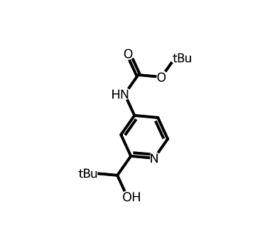 CC(C)(C)OC(=O)Nc1ccnc(C(O)C(C)(C)C)c1